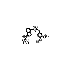 CCOc1ccc(Cc2nc(-c3cccc4c3CC[C@@H]4NC(=O)OC(C)(C)C)no2)cc1OCC